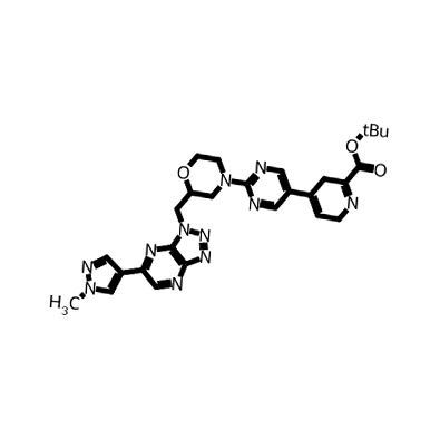 Cn1cc(-c2cnc3nnn(CC4CN(c5ncc(C6=CCN=C(C(=O)OC(C)(C)C)C6)cn5)CCO4)c3n2)cn1